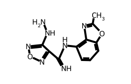 Cc1nc2c(NC(=N)c3nonc3NN)cccc2o1